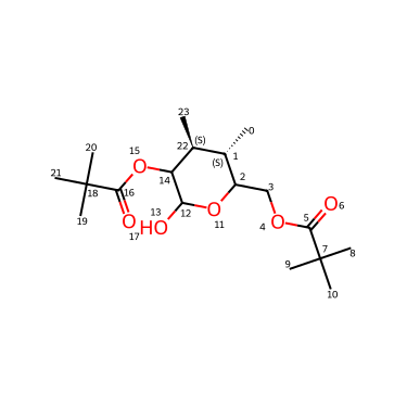 C[C@@H]1C(COC(=O)C(C)(C)C)OC(O)C(OC(=O)C(C)(C)C)[C@H]1C